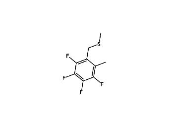 CSCc1c(C)c(F)c(F)c(F)c1F